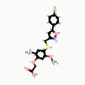 COc1cc(OCC(=O)O)c(C)cc1SCc1cc(-c2ccc(Cl)cc2)on1